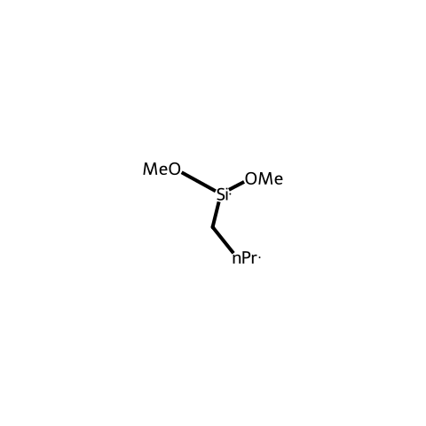 CC[CH]C[Si](OC)OC